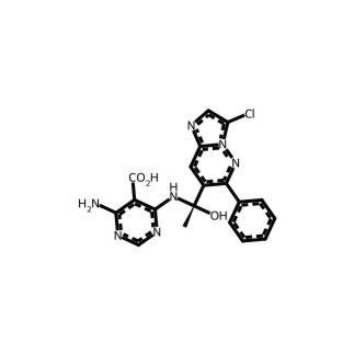 C[C@@](O)(Nc1ncnc(N)c1C(=O)O)c1cc2ncc(Cl)n2nc1-c1ccccc1